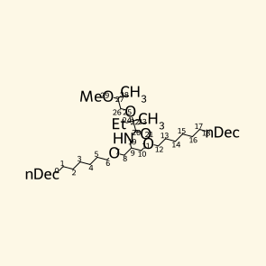 CCCCCCCCCCCCCCCCOCC(COCCCCCCCCCCCCCCCC)NC(=O)C(C)(CC)OCC(C)OC